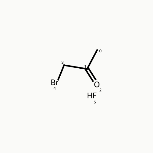 CC(=O)CBr.F